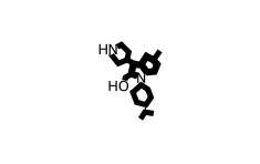 Cc1ccc2c(c1)c(C1CCNCC1)c(CO)n2[C@H]1CC[C@@H](C(C)C)CC1